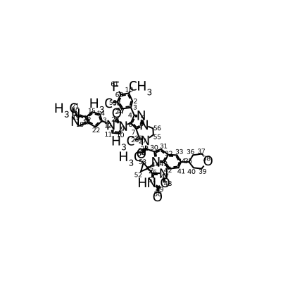 Cc1cc(-c2nn3c(c2-n2ccn(-c4ccc5c(cnn5C)c4)c2=O)C(C)N(C(=O)c2cc4cc(C5CCOCC5)ccc4n2C2(c4noc(=O)[nH]4)CC2C)CC3)cc(C)c1F